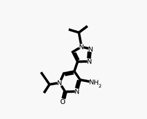 CC(C)n1cc(-c2cn(C(C)C)c(=O)nc2N)nn1